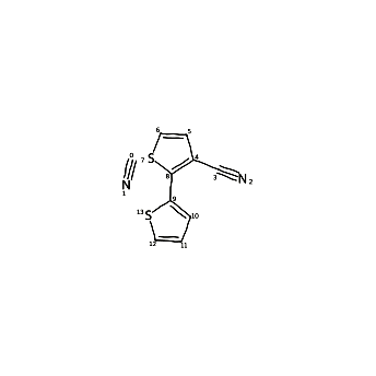 C#N.N#Cc1ccsc1-c1cccs1